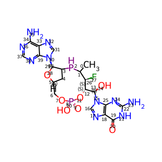 CC1PC2C[C@@H](COP(=O)(O)O[C@@H]([C@@H](O)n3cnc4c(=O)[nH]c(N)nc43)[C@@H]1F)O[C@H]2n1cnc2c(N)ncnc21